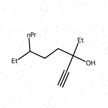 C#CC(O)(CC)CCC(CC)CCC